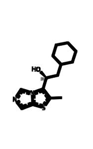 Cc1sc2cncn2c1[C@@H](O)CC1CCCCC1